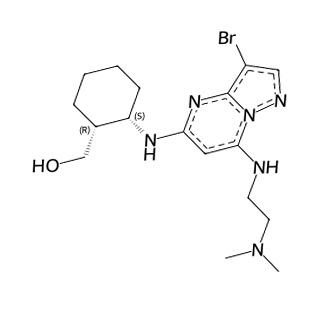 CN(C)CCNc1cc(N[C@H]2CCCC[C@H]2CO)nc2c(Br)cnn12